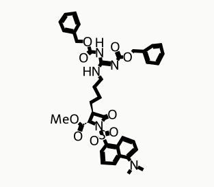 COC(=O)[C@@H]1[C@@H](CCCCNC(=NC(=O)OCc2ccccc2)NC(=O)OCc2ccccc2)C(=O)N1S(=O)(=O)c1cccc2c(N(C)C)cccc12